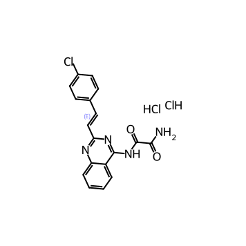 Cl.Cl.NC(=O)C(=O)Nc1nc(/C=C/c2ccc(Cl)cc2)nc2ccccc12